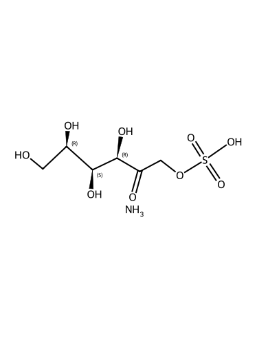 N.O=C(COS(=O)(=O)O)[C@H](O)[C@@H](O)[C@H](O)CO